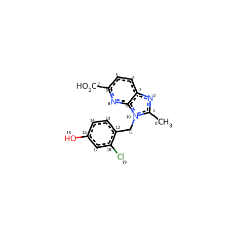 Cc1nc2ccc(C(=O)O)nc2n1Cc1ccc(O)cc1Cl